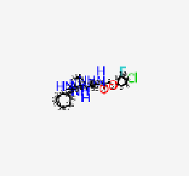 O=C(COc1ccc(Cl)c(F)c1)NC12CC(NC3NCCN4NC(C5CCCCCCCC5)NC34)(C1)C2